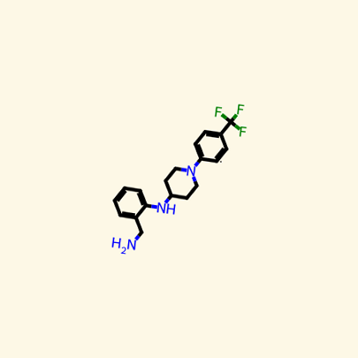 NCc1ccccc1NC1CCN(c2[c]cc(C(F)(F)F)cc2)CC1